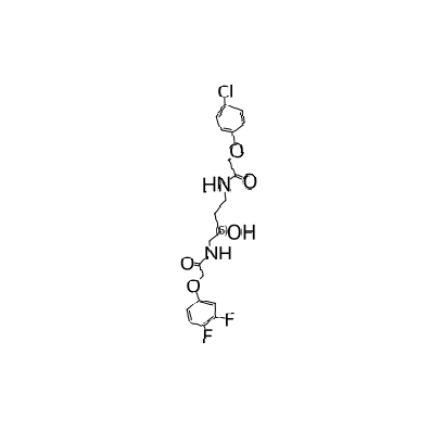 O=C(COc1ccc(Cl)cc1)NCC[C@H](O)CNC(=O)COc1ccc(F)c(F)c1